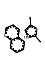 Cc1c[nH]c(C)n1.c1ccc2ncccc2c1